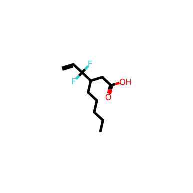 C=CC(F)(F)C(CCCCC)CC(=O)O